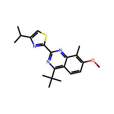 COc1ccc2c(C(C)(C)C)nc(-c3nc(C(C)C)cs3)nc2c1C